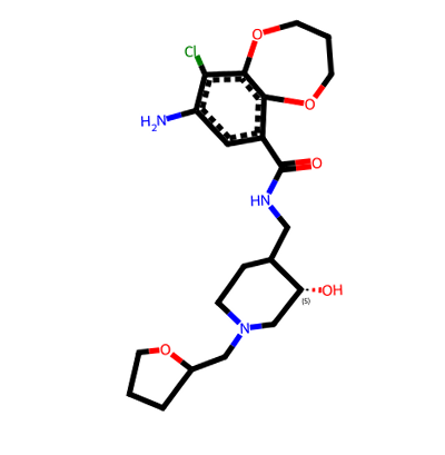 Nc1cc(C(=O)NCC2CCN(CC3CCCO3)C[C@H]2O)c2c(c1Cl)OCCCO2